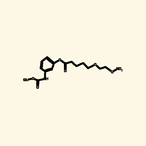 CC(C)(C)OC(=O)Nc1cccc(OC(=O)CCCCOCCO[N+](=O)[O-])c1